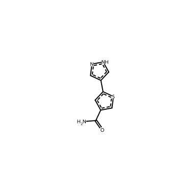 NC(=O)c1csc(-c2cn[nH]c2)c1